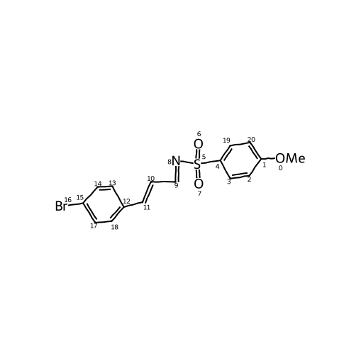 COc1ccc(S(=O)(=O)N=CC=Cc2ccc(Br)cc2)cc1